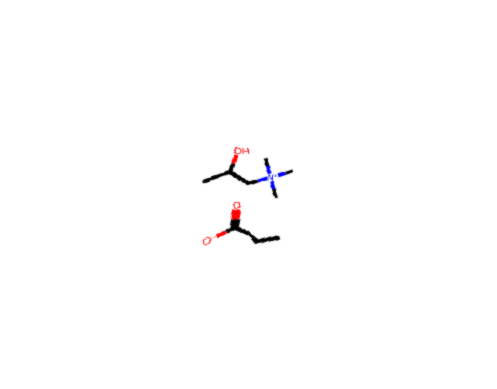 CC(O)C[N+](C)(C)C.CCC(=O)[O-]